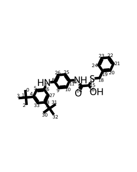 CC(C)(C)c1cc(Nc2ccc(NC(=O)C(O)SCc3ccccc3)cc2)cc(C(C)(C)C)c1